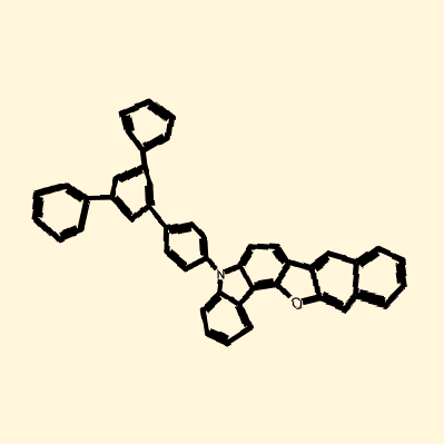 c1ccc(-c2cc(-c3ccccc3)cc(-c3ccc(-n4c5ccccc5c5c6oc7cc8ccccc8cc7c6ccc54)cc3)c2)cc1